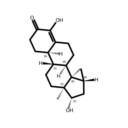 C[C@]12CC[C@H]3[C@@H](CCC4=C(O)C(=O)CC[C@@H]43)[C@]13C[C@@H]3C[C@@H]2O